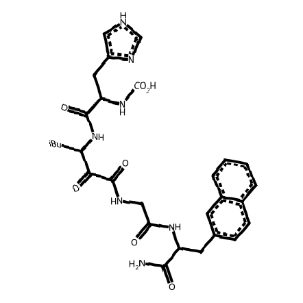 CCC(C)C(NC(=O)C(Cc1c[nH]cn1)NC(=O)O)C(=O)C(=O)NCC(=O)NC(Cc1ccc2ccccc2c1)C(N)=O